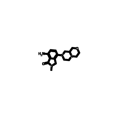 CN1Cc2c(N3CCN4CCOCC4C3)ccc(N)c2C1=O